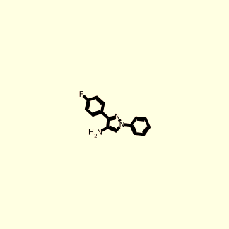 Nc1cn(-c2ccccc2)nc1-c1ccc(F)cc1